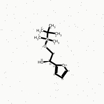 CC(C)(C)[Si](C)(C)OC[C@H](O)c1ccco1